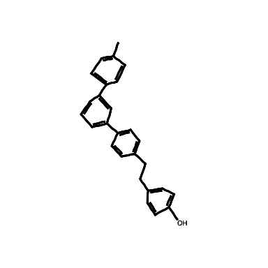 Cc1ccc(-c2cccc(-c3ccc(CCc4ccc(O)cc4)cc3)c2)cc1